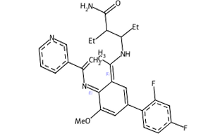 C=C(/N=C1/C(OC)=CC(c2ccc(F)cc2F)=C/C1=C(/C)NC(CC)C(CC)C(N)=O)c1cccnc1